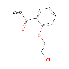 COC(=O)c1ccccc1OCCO